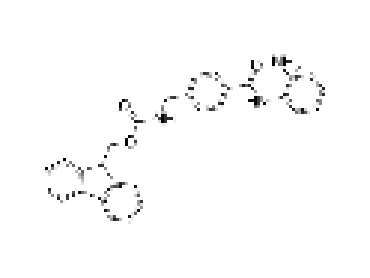 Nc1ccccc1NC(=O)c1ccc(CNC(=O)OCC2c3ccccc3-c3ccccc32)cc1